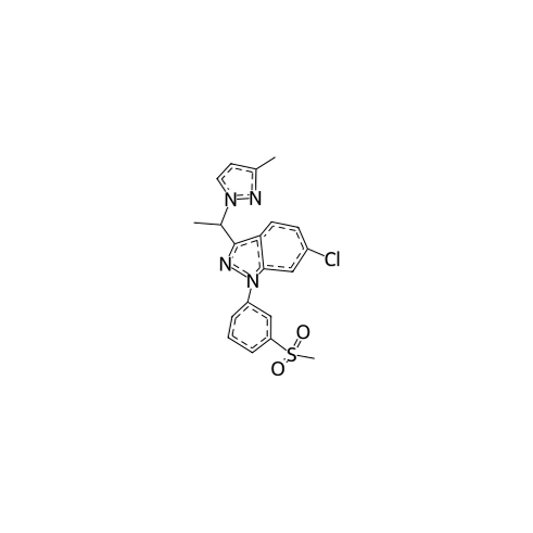 Cc1ccn(C(C)c2nn(-c3cccc(S(C)(=O)=O)c3)c3cc(Cl)ccc23)n1